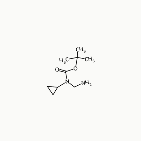 CC(C)(C)OC(=O)N(CN)C1CC1